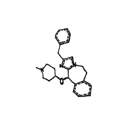 CN1CCC(OC2c3ccccc3CCn3cc(Cc4ccccc4)nc32)CC1